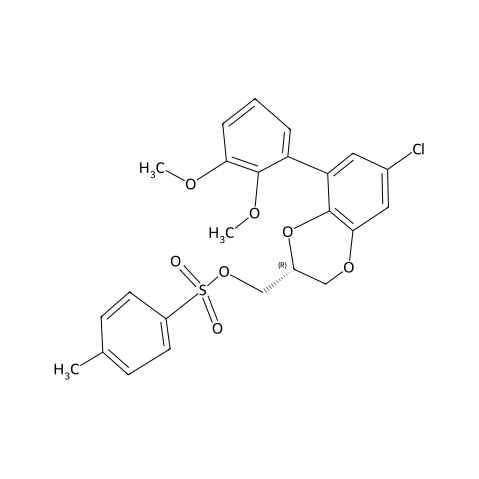 COc1cccc(-c2cc(Cl)cc3c2O[C@@H](COS(=O)(=O)c2ccc(C)cc2)CO3)c1OC